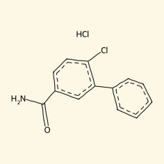 Cl.NC(=O)c1ccc(Cl)c(-c2ccccc2)c1